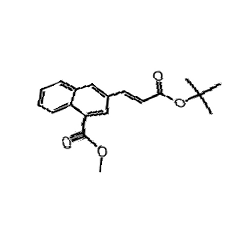 COC(=O)c1cc(/C=C/C(=O)OC(C)(C)C)cc2ccccc12